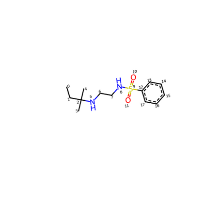 CCC(C)(C)NCCNS(=O)(=O)c1ccccc1